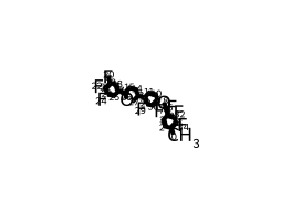 Cc1ccc(C(F)(F)Oc2ccc(C3CCC(c4cc(F)c(F)c(F)c4)OC3)c(F)c2)c(F)c1F